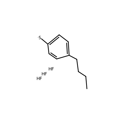 CCCCc1ccc([S])cc1.F.F.F